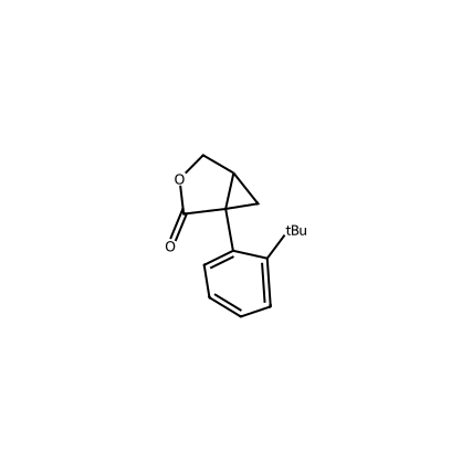 CC(C)(C)c1ccccc1C12CC1COC2=O